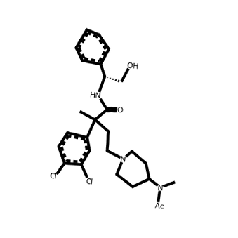 CC(=O)N(C)C1CCN(CCC(C)(C(=O)N[C@@H](CO)c2ccccc2)c2ccc(Cl)c(Cl)c2)CC1